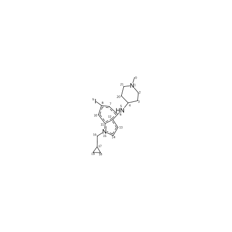 CN1CCC(Nc2cc(I)cc3c2ccn3CC2CC2)CC1